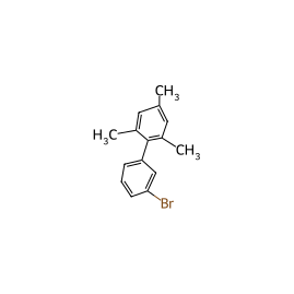 Cc1cc(C)c(-c2cccc(Br)c2)c(C)c1